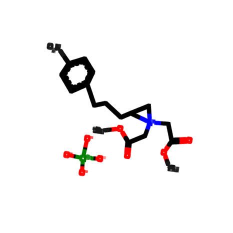 CC(C)(C)OC(=O)C[N+]1(CC(=O)OC(C)(C)C)CC1CCCc1ccc([N+](=O)[O-])cc1.[O-][Cl+3]([O-])([O-])[O-]